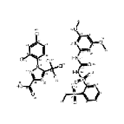 CCS(=O)(=O)c1cccnc1S(=O)(=O)NC(=O)Nc1nc(OC)cc(OC)n1.O=C(O)c1nc(C(Cl)(Cl)Cl)n(-c2ccc(Cl)cc2Cl)n1